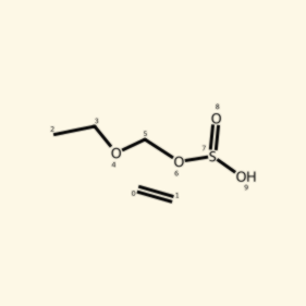 C=C.CCOCOS(=O)O